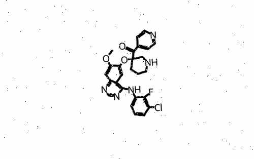 COc1cc2ncnc(Nc3cccc(Cl)c3F)c2cc1O[C@]1(C(=O)c2ccncc2)CCCNC1